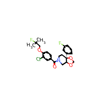 CC(C)(F)COc1ccc(C(=O)N2CC[C@@]3(c4cccc(F)c4)OCOC3C2)cc1Cl